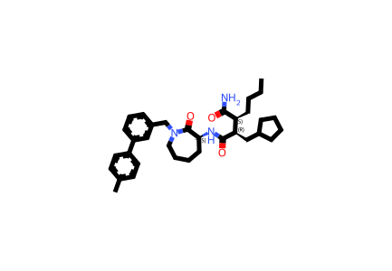 CCCC[C@H](C(N)=O)[C@@H](CC1CCCC1)C(=O)N[C@H]1CCCCN(Cc2cccc(-c3ccc(C)cc3)c2)C1=O